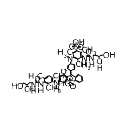 Cc1cc(C)c(Nc2ccc3c(-c4ccccc4S(=O)(=O)O)c4cc/c(=N\c5c(C)c(NC(=O)NCC(O)CO)c(C)c(S(=O)(=O)O)c5C)cc-4oc3c2)c(C)c1NC(=O)NCC(O)CO